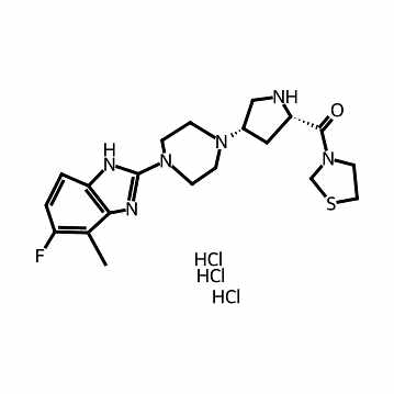 Cc1c(F)ccc2[nH]c(N3CCN([C@@H]4CN[C@H](C(=O)N5CCSC5)C4)CC3)nc12.Cl.Cl.Cl